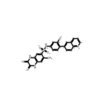 Cc1cc2[nH]c(=O)c(=O)[nH]c2cc1S(=O)(=O)Nc1ccc(-c2ccc3ncccc3c2)c(Cl)c1